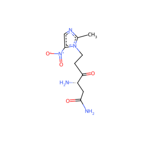 Cc1ncc([N+](=O)[O-])n1CCC(=O)[C@@H](N)CC(N)=O